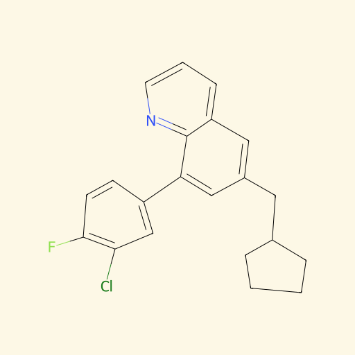 Fc1ccc(-c2cc(CC3CCCC3)cc3cccnc23)cc1Cl